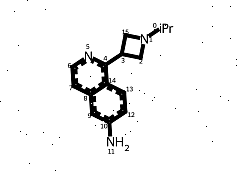 CC(C)N1CC(c2nccc3cc(N)ccc23)C1